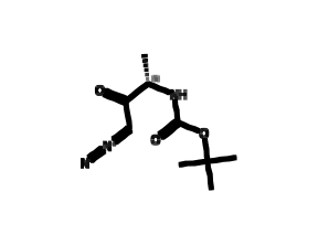 C[C@H](NC(=O)OC(C)(C)C)C(=O)C=[N+]=[N-]